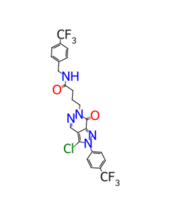 O=C(CCCn1ncc2c(Cl)n(-c3ccc(C(F)(F)F)cc3)nc2c1=O)NCc1ccc(C(F)(F)F)cc1